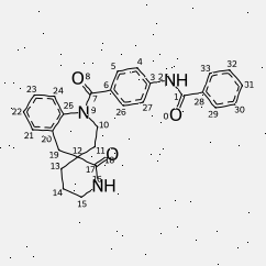 O=C(Nc1ccc(C(=O)N2CCC3(CCCNC3=O)Cc3ccccc32)cc1)c1ccccc1